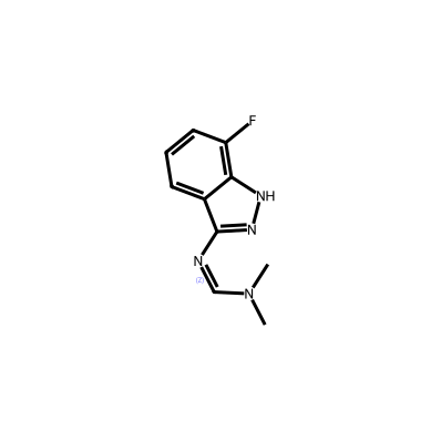 CN(C)/C=N\c1n[nH]c2c(F)cccc12